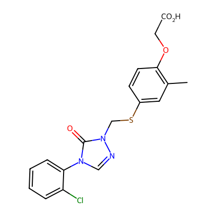 Cc1cc(SCn2ncn(-c3ccccc3Cl)c2=O)ccc1OCC(=O)O